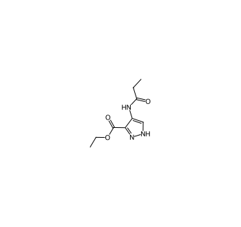 CCOC(=O)c1n[nH]cc1NC(=O)CC